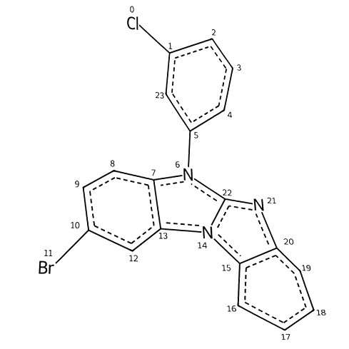 Clc1cccc(-n2c3ccc(Br)cc3n3c4ccccc4nc23)c1